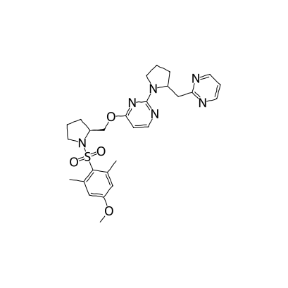 COc1cc(C)c(S(=O)(=O)N2CCC[C@H]2COc2ccnc(N3CCCC3Cc3ncccn3)n2)c(C)c1